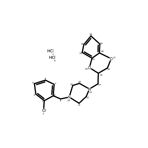 Cl.Cl.Clc1ccccc1CN1CCN(CC2COc3ccccc3O2)CC1